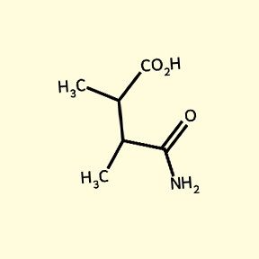 CC(C(N)=O)C(C)C(=O)O